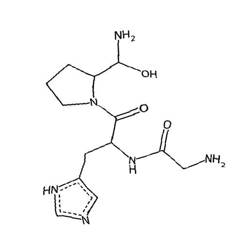 NCC(=O)NC(Cc1cnc[nH]1)C(=O)N1CCCC1C(N)O